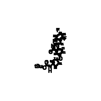 CC(C)(C)OC(=O)N[C@H]1CC[C@@H](Oc2ccc3c(c2)c(=O)ncn3Cc2c(F)cc(F)cc2F)CC1